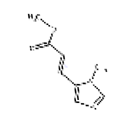 COC(=O)/C=C/c1cncn1C